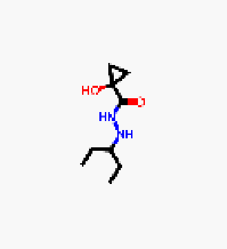 CCC(CC)NNC(=O)C1(O)CC1